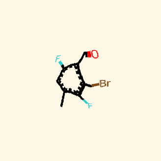 Cc1cc(F)c(C=O)c(Br)c1F